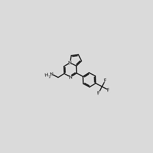 NCc1cn2cccc2c(-c2ccc(C(F)(F)F)cc2)n1